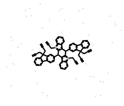 C#CCn1c2c(c3ccccc31)C(c1ccc3c(c1)C(CC#C)(CC#C)c1ccccc1-3)c1c(c3ccccc3n1CC#C)C2c1ccc2c(c1)C(CC#C)(CC#C)c1ccccc1-2